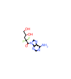 Nc1ncnc2c1ncn2C(=O)C(F)(F)C[C@H](O)CO